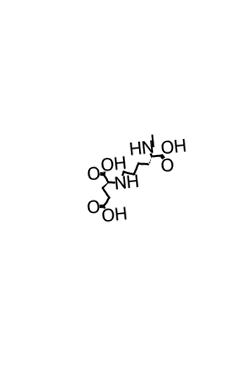 O=C(O)CC[C@H](NCCCC[C@H](NI)C(=O)O)C(=O)O